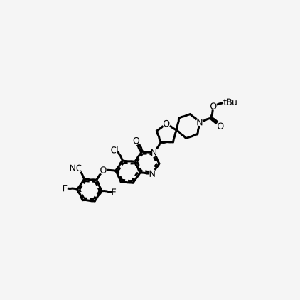 CC(C)(C)OC(=O)N1CCC2(CC1)CC(n1cnc3ccc(Oc4c(F)ccc(F)c4C#N)c(Cl)c3c1=O)CO2